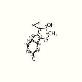 CSc1c(C2(CO)CC2)sc2[c]nc(Cl)nc12